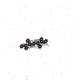 CC1(C)c2ccccc2-c2c1cc(-c1cc3c(c4oc5ccccc5c14)-c1cc4c(cc1[Si]3(C)C)-c1c(cc(-c3cc5oc6ccccc6c5c5ccccc35)c3c1oc1ccccc13)[Si]4(C)C)c1ccccc21